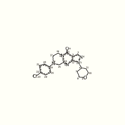 O=c1c2cnn(C3CCOCC3)c2nc2n1CCN(c1ccc(Cl)cc1)C2